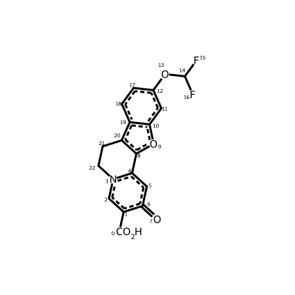 O=C(O)c1cn2c(cc1=O)-c1oc3cc(OC(F)F)ccc3c1CC2